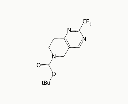 CC(C)(C)OC(=O)N1CCc2nc(C(F)(F)F)ncc2C1